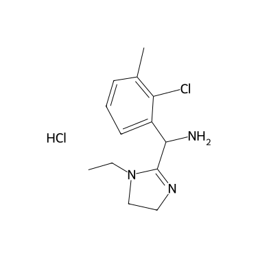 CCN1CCN=C1C(N)c1cccc(C)c1Cl.Cl